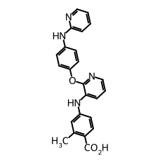 Cc1cc(Nc2cccnc2Oc2ccc(Nc3ccccn3)cc2)ccc1C(=O)O